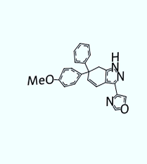 COc1ccc(C2(c3ccccc3)C=Cc3c(-c4cocn4)n[nH]c3C2)cc1